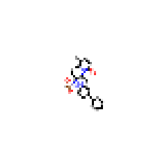 Cc1ccc(=O)n2c1CC[C@H](NS(C)(=O)=O)[C@@H]2Cc1cccc(-c2ccccc2)c1